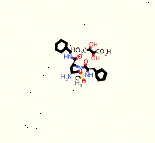 CS(=O)(=O)N[C@H](Cc1ccccc1)C(=O)N1C[C@H](N)C[C@H]1C(=O)NCC1CCCCC1.O=C(O)C(O)C(O)C(=O)O